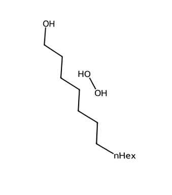 CCCCCCCCCCCCCO.OO